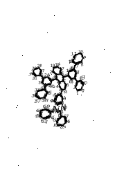 c1ccc(-c2cc(-c3ccccc3)cc(-c3c4ccccc4c(-c4cc(-c5ccccc5)cc(-c5ccccc5)c4)c4cc(-c5ccc6c(c5)nc(-c5ccccc5)n6-c5ccccc5)ccc34)c2)cc1